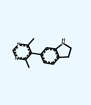 Cc1ncnc(C)c1-c1ccc2c(c1)NCC2